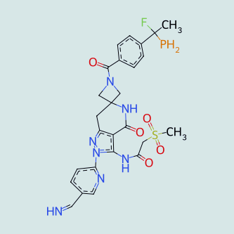 CC(F)(P)c1ccc(C(=O)N2CC3(Cc4nn(-c5ccc(C=N)cn5)c(NC(=O)CS(C)(=O)=O)c4C(=O)N3)C2)cc1